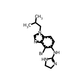 CC(C)Cn1cnc2c(Br)c(NC3=NCCN3)ccc21